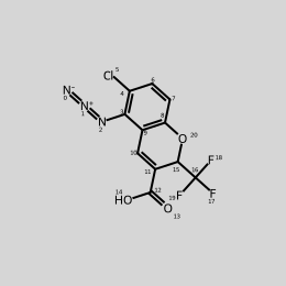 [N-]=[N+]=Nc1c(Cl)ccc2c1C=C(C(=O)O)C(C(F)(F)F)O2